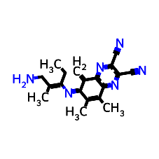 C=C1/C(=N\C(CC)=C(/C)CN)C(C)=C(C)c2nc(C#N)c(C#N)nc21